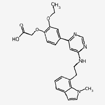 CCOc1cc(-c2cc(NCCc3cccc4ccn(C)c34)ncn2)ccc1OCC(=O)O